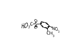 Cc1cc(S(=O)(=O)C(=O)O)ccc1[N+](=O)[O-]